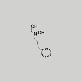 OCN(O)CCCc1ccccc1